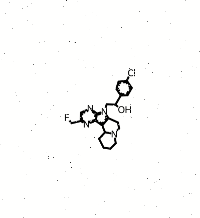 OC(Cn1c2c(c3nc(CF)cnc31)C1CCCCN1CC2)c1ccc(Cl)cc1